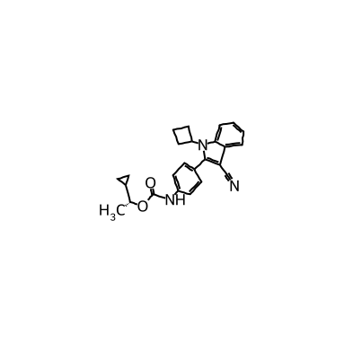 C[C@@H](OC(=O)Nc1ccc(-c2c(C#N)c3ccccc3n2C2CCC2)cc1)C1CC1